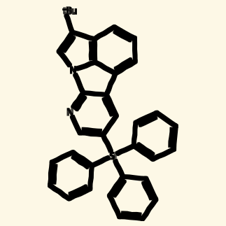 CC(C)(C)c1cn2c3ncc([Si](c4ccccc4)(c4ccccc4)c4ccccc4)cc3c3cccc1c32